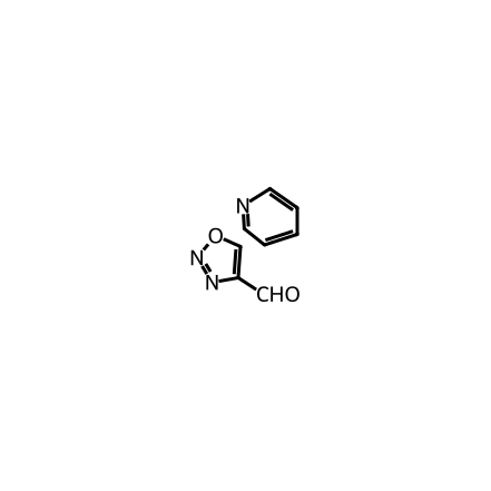 O=Cc1conn1.c1ccncc1